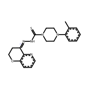 Cc1ccccc1N1CCN(C(=S)N/N=C2/CCOc3cccnc32)CC1